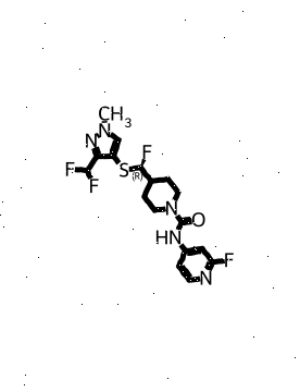 Cn1cc(S[C@@H](F)C2CCN(C(=O)Nc3ccnc(F)c3)CC2)c(C(F)F)n1